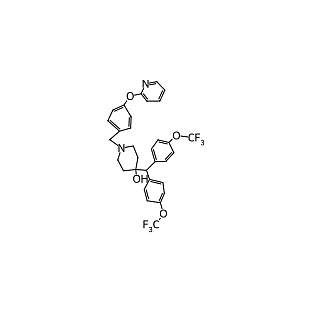 OC1(C(c2ccc(OC(F)(F)F)cc2)c2ccc(OC(F)(F)F)cc2)CCN(Cc2ccc(Oc3ccccn3)cc2)CC1